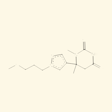 COCCCn1cc(C2(C)CC(=O)NC(=O)N2C)cn1